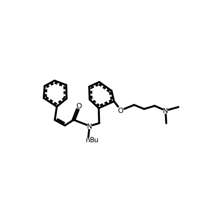 CCCCN(Cc1ccccc1OCCCN(C)C)C(=O)/C=C\c1ccccc1